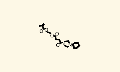 C=C(C)C(=O)OCCOC(=O)CCC(=O)N1CCN(c2cc[c]cc2)CC1